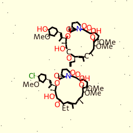 C=CC[C@@H]1/C=C(\C)C[C@H](C)C[C@H](OC)[C@H]2O[C@@](O)(C(=O)C(=O)N3CCCC[C@H]3C(=O)O[C@H](/C(C)=C/[C@@H]3CC[C@@H](O)[C@H](OC)C3)[C@H](C)[C@@H](O)CC1=O)[C@H](C)C[C@@H]2OC.CC[C@@H]1/C=C(\C)C[C@H](C)C[C@H](OC)[C@H]2O[C@@](O)(C(=O)C(=O)N3CCCC[C@H]3C(=O)O[C@H](/C(C)=C/[C@@H]3CC[C@@H](Cl)[C@H](OC)C3)[C@H](C)[C@@H](O)CC1=O)[C@H](C)C[C@@H]2OC